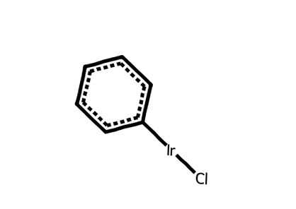 [Cl][Ir][c]1ccccc1